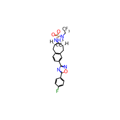 O=S1(=O)N[C@@]2(CN1CC(F)(F)F)[C@@H]1CC[C@H]2Cc2ccc(-c3noc(-c4ccc(F)cc4)n3)cc2C1